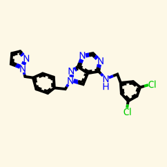 Clc1cc(Cl)cc(CNc2ncnc3nn(Cc4ccc(Cn5cccn5)cc4)cc23)c1